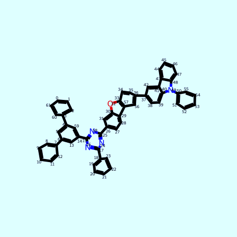 c1ccc(-c2cc(-c3ccccc3)cc(-c3nc(-c4ccccc4)nc(-c4ccc5c(c4)oc4ccc(-c6ccc7c(c6)c6ccccc6n7-c6ccccc6)cc45)n3)c2)cc1